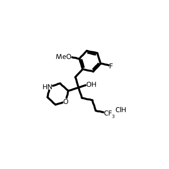 COc1ccc(F)cc1CC(O)(CCCC(F)(F)F)C1CNCCO1.Cl